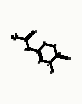 CN1N=C(OC(N)=O)CCC1=O